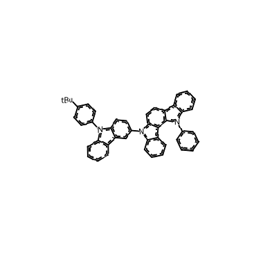 CC(C)(C)c1ccc(-n2c3ccccc3c3cc(-n4c5ccccc5c5c4ccc4c6ccccc6n(-c6ccccc6)c45)ccc32)cc1